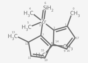 CC1=[C]([Zr]([CH3])([CH3])(=[SiH2])[C]2=C(C)C=CC2C)C(C)C=C1